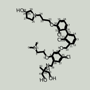 CN(C)CCOc1cc(OCc2cccc(-c3cccc(OCCCN4CC[C@@H](O)C4)c3Cl)c2Cl)c(Cl)cc1CNC(C)(CO)CO